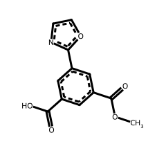 COC(=O)c1cc(C(=O)O)cc(-c2ncco2)c1